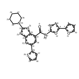 O=C(Nc1nnc(-c2ccco2)o1)c1cc(-c2cccs2)nc2nc(N3CCCCC3)sc12